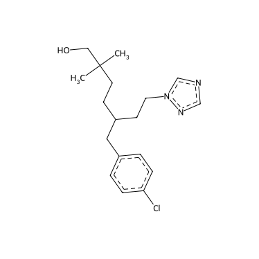 CC(C)(CO)CCC(CCn1cncn1)Cc1ccc(Cl)cc1